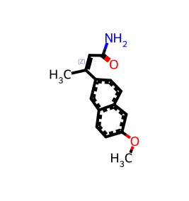 COc1ccc2cc(/C(C)=C\C(N)=O)ccc2c1